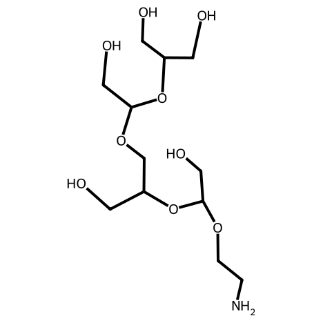 NCCOC(CO)OC(CO)COC(CO)OC(CO)CO